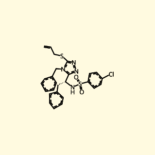 C=CCSc1nnc([C@@H](Cc2ccccc2)NS(=O)(=O)c2ccc(Cl)cc2)n1Cc1ccccc1